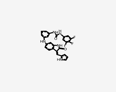 O=C(Nc1cccc(Nc2ccc3c(c2)NC(=O)/C3=C\c2ccc[nH]2)c1)Nc1cc(F)c(F)c(F)c1